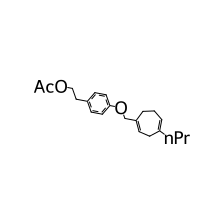 CCCC1=CCCC(COc2ccc(CCOC(C)=O)cc2)=CC1